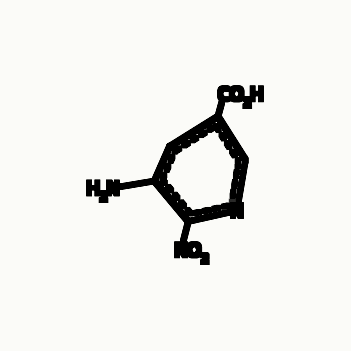 Nc1cc(C(=O)O)cnc1[N+](=O)[O-]